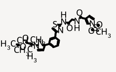 CC(C)(C)OC(=O)C(C)(C)n1ccc(-c2cccc(-c3csc(NC(=O)CNC(=O)c4ccn(S(C)(=O)=O)c4)n3)c2)n1